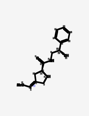 CO/N=C1/CN[C@H](C(=O)NC[C@H](O)c2ccccc2)C1